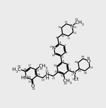 CCN(c1cc(-c2ccc(CC3CCN(C)CC3)nc2)cc(CNCc2c(C)cc(C)[nH]c2=O)c1C)C1CCOCC1